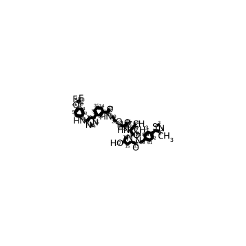 Cc1ncsc1-c1ccc(CNC(=O)C2CC(O)CN2C(=O)[C@@H](NC(=O)COCCNC(=O)c2cccc(-c3cc(Nc4ccc(OC(F)(F)F)cc4)ncn3)c2)C(C)(C)C)cc1